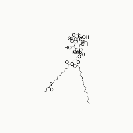 CCCCCCCCCCCCCCCC(=O)O[C@H](COC(=O)CCCCCCCCCSC(=O)CCC)COP(=O)(O)OC1C(O)[C@@H](O)C(OP(=O)(O)O)[C@@H](OP(=O)(O)O)[C@H]1O